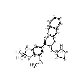 COc1cc(C(=O)N(Cc2cc3ccccc3cn2)C[C@@H]2CCCN2)cc2c1OC(C)(C)O2